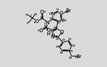 CC(C)(C)OC(=O)N(C(=O)O)c1ncc(Br)nc1-c1nnc(-c2ccc(CBr)cc2)o1